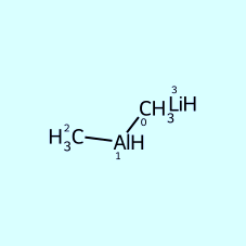 [CH3][AlH][CH3].[LiH]